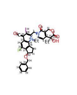 CCN1C(Cn2ccc3c(c2=O)COC(=O)[C@]3(O)CC)=C(I)C(=C=O)c2cc(F)c3c(c21)CCC3OCc1ccccc1